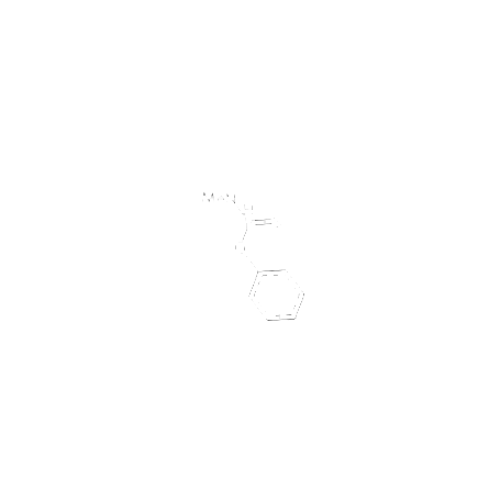 CN[PH](=S)Oc1ccccc1